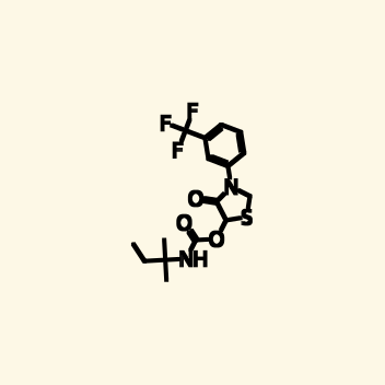 CCC(C)(C)NC(=O)OC1SCN(c2cccc(C(F)(F)F)c2)C1=O